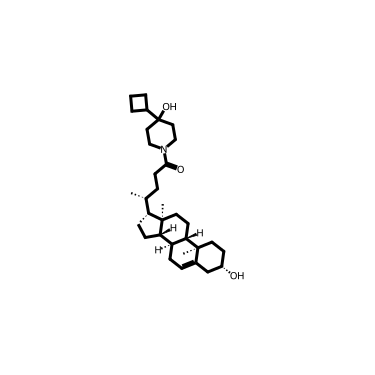 C[C@H](CCC(=O)N1CCC(O)(C2CCC2)CC1)[C@H]1CC[C@H]2[C@@H]3CC=C4C[C@@H](O)CC[C@]4(C)[C@H]3CC[C@]12C